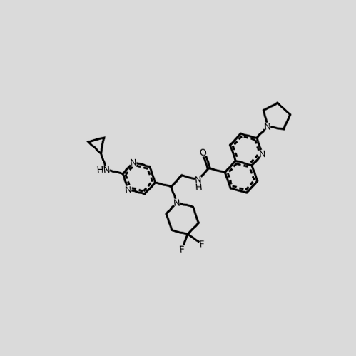 O=C(NCC(c1cnc(NC2CC2)nc1)N1CCC(F)(F)CC1)c1cccc2nc(N3CCCC3)ccc12